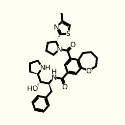 Cc1csc([C@H]2CCCN2C(=O)c2cc(C(=O)N[C@@H](Cc3ccccc3)[C@H](O)[C@H]3CCCN3)cc3c2CCCCO3)n1